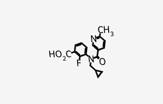 Cc1ccc(C(=O)N(CC2CC2)c2cccc(C(=O)O)c2F)cn1